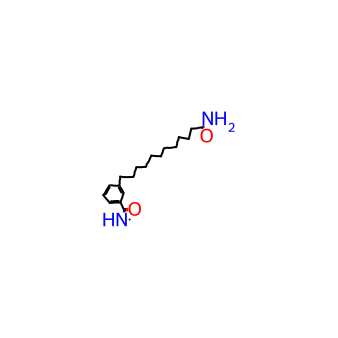 [NH]C(=O)c1cccc(CCCCCCCCCCCC(N)=O)c1